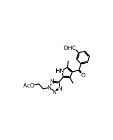 CC(=O)OCCn1nnc(-c2[nH]c(C)c(C(=O)c3cccc(C=O)c3)c2C)n1